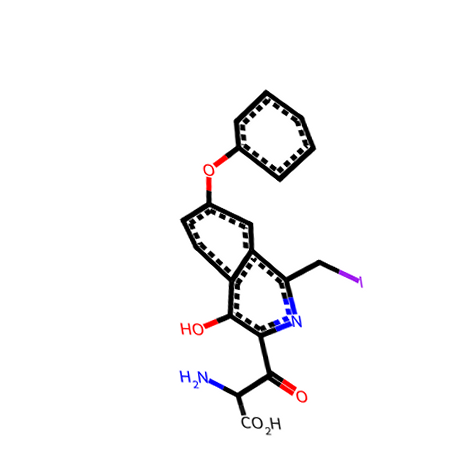 NC(C(=O)O)C(=O)c1nc(CI)c2cc(Oc3ccccc3)ccc2c1O